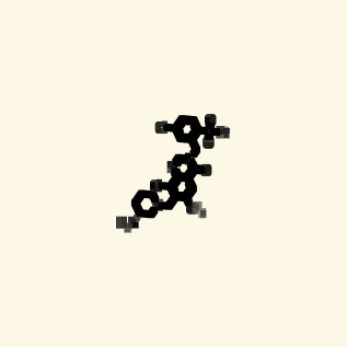 CCS(=O)(=O)c1ccc(Cl)cc1Cn1cnc2c(Cl)c(CN3CCC[C@@H](N)C3)c(C(F)(F)F)cc2c1=O